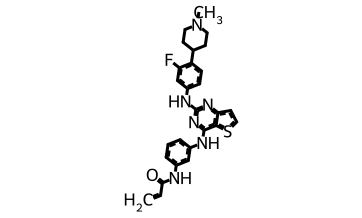 C=CC(=O)Nc1cccc(Nc2nc(Nc3ccc(C4CCN(C)CC4)c(F)c3)nc3ccsc23)c1